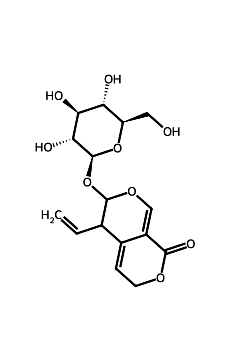 C=CC1C2=CCOC(=O)C2=COC1O[C@@H]1O[C@H](CO)[C@@H](O)[C@H](O)[C@H]1O